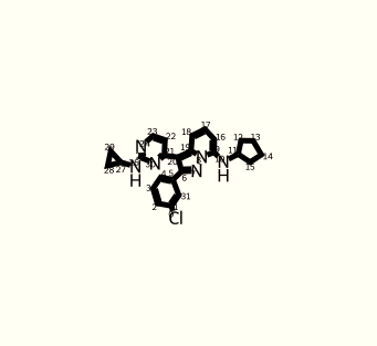 Clc1cccc(-c2nn3c(NC4CCCC4)cccc3c2-c2ccnc(NC3CC3)n2)c1